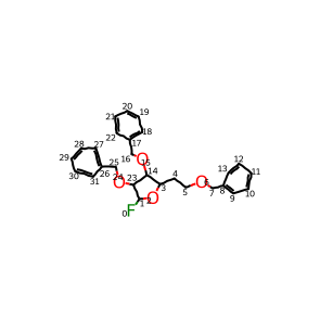 FC1OC(CCOCc2ccccc2)C(OCc2ccccc2)C1OCc1ccccc1